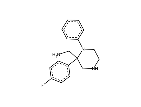 NCC1(c2ccc(F)cc2)CNCCN1c1ccccc1